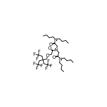 CCCCN(CCCC)C(=O)CN(CC(=O)N(CCCC)CCCC)C(=O)COCC(CC(F)(F)F)(CC(F)(F)F)CC(F)(F)F